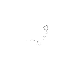 NC(=O)[C@@H](CC(=O)NCCc1ccc(O)cc1)NC(=O)CCCCCCC(F)(F)F